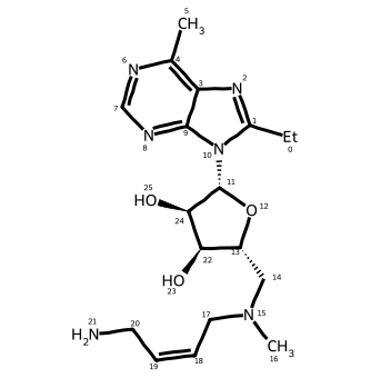 CCc1nc2c(C)ncnc2n1[C@@H]1O[C@H](CN(C)C/C=C\CN)[C@@H](O)[C@H]1O